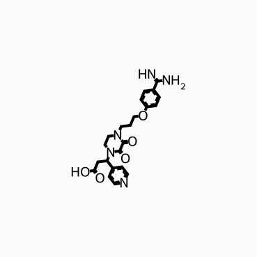 N=C(N)c1ccc(OCCCN2CCN(C(CC(=O)O)c3ccncc3)C(=O)C2=O)cc1